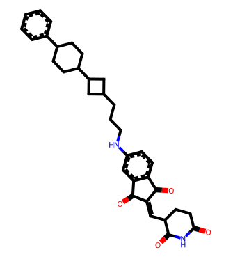 O=C1CCC(/C=C2\C(=O)c3ccc(NCCCC4CC(C5CCC(c6ccccc6)CC5)C4)cc3C2=O)C(=O)N1